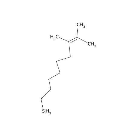 CC(C)=C(C)CCCCCC[SiH3]